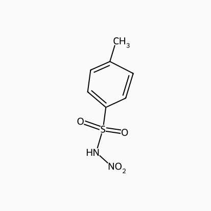 Cc1ccc(S(=O)(=O)N[N+](=O)[O-])cc1